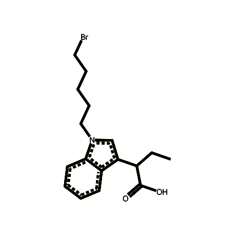 CCC(C(=O)O)c1cn(CCCCCBr)c2ccccc12